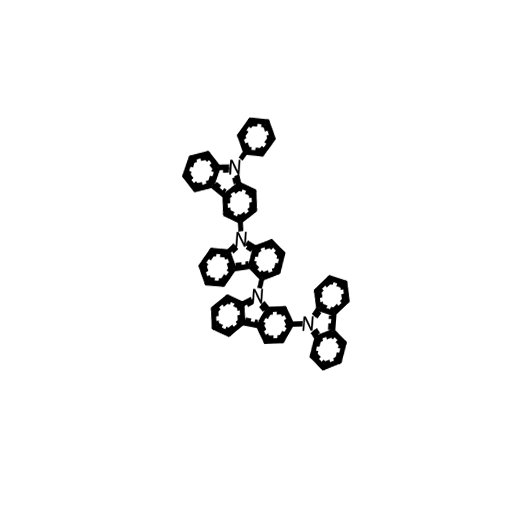 c1ccc(-n2c3ccccc3c3cc(-n4c5ccccc5c5c(-n6c7ccccc7c7ccc(-n8c9ccccc9c9ccccc98)cc76)cccc54)ccc32)cc1